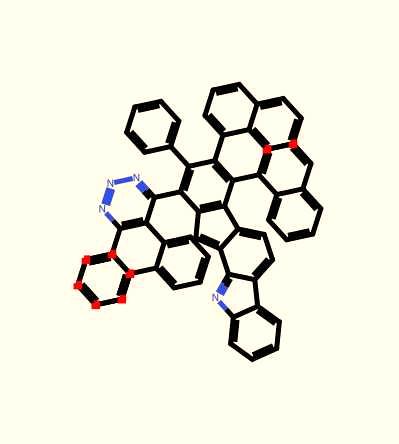 C1=c2c(ccc3c2=Nc2ccccc2-3)-c2c1c(-c1nnnc(-c3ccccc3)c1-c1ccccc1-c1ccccc1)c(-c1ccccc1)c(-c1cccc3ccccc13)c2-c1cccc2ccccc12